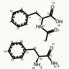 CC(=O)N[C@@H](Cc1ccccc1)C(=O)O.NC(=O)[C@@H](N)Cc1ccccc1